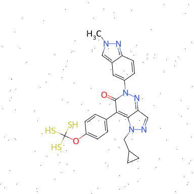 Cn1cc2cc(-n3nc4cnn(CC5CC5)c4c(-c4ccc(OC(S)(S)S)cc4)c3=O)ccc2n1